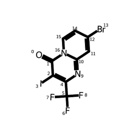 O=c1c(I)c(C(F)(F)F)nc2cc(Br)ccn12